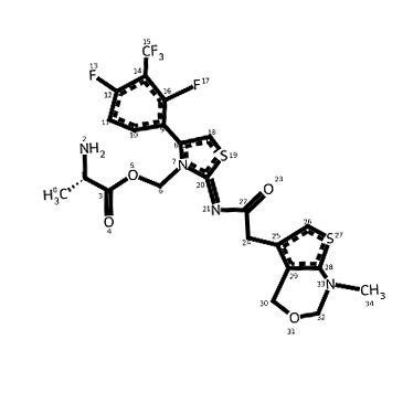 C[C@H](N)C(=O)OCn1c(-c2ccc(F)c(C(F)(F)F)c2F)cs/c1=N\C(=O)Cc1csc2c1COCN2C